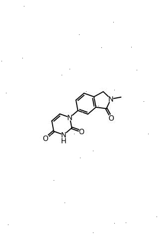 CN1Cc2ccc(-n3ccc(=O)[nH]c3=O)cc2C1=O